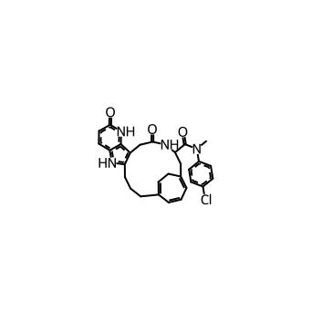 CN(C(=O)C1CC2=CC=CC(=CC2)CCCc2[nH]c3ccc(=O)[nH]c3c2CC(=O)N1)c1ccc(Cl)cc1